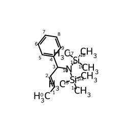 CC=CC(c1ccccc1)N([Si](C)(C)C)[Si](C)(C)C